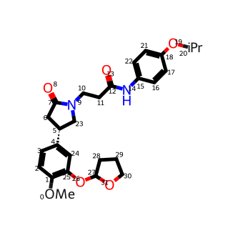 COc1ccc([C@@H]2CC(=O)N(CCC(=O)Nc3ccc(OC(C)C)cc3)C2)cc1OC1CCCO1